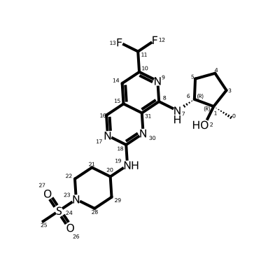 C[C@@]1(O)CCC[C@H]1Nc1nc(C(F)F)cc2cnc(NC3CCN(S(C)(=O)=O)CC3)nc12